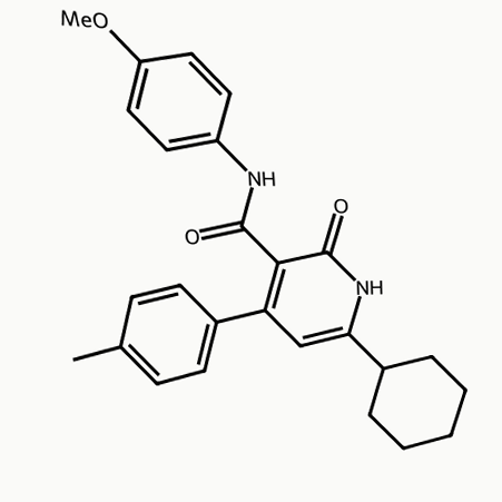 COc1ccc(NC(=O)c2c(-c3ccc(C)cc3)cc(C3CCCCC3)[nH]c2=O)cc1